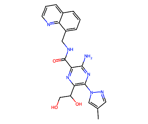 Cc1cnn(-c2nc(N)c(C(=O)NCc3cccc4cccnc34)nc2C(O)CO)c1